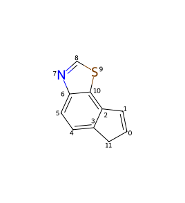 C1=Cc2c(ccc3ncsc23)C1